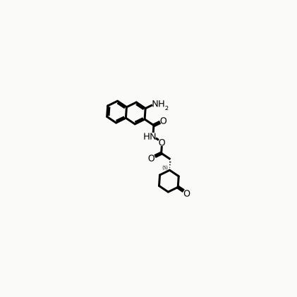 Nc1cc2ccccc2cc1C(=O)NOC(=O)C[C@H]1CCCC(=O)C1